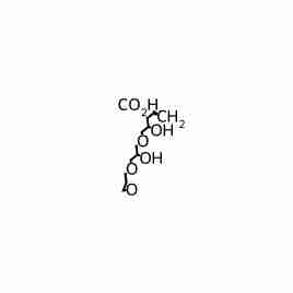 C=C(CC(O)COCC(O)COCC1CO1)C(=O)O